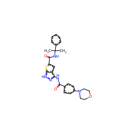 CC(C)(NC(=O)c1cc2c(NC(=O)c3ccc(N4CCOCC4)cc3)n[nH]c2s1)c1ccccc1